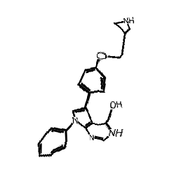 OC1NC=Nc2c1c(-c1ccc(OCC3CNC3)cc1)cn2-c1ccccc1